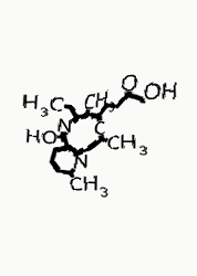 CCc1nc(O)c2c(cc(C)cc(CCC(=O)CO)c1C)=NC(C)C=CC=2